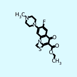 CCOC(=O)c1c2n(c3cc(N4CCN(C)CC4)c(F)cc3c1=O)CS2